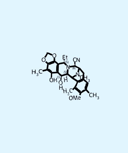 CC[C@H]1c2c3c(c(C)c(O)c2[C@H](O)[C@@H]2C4c5c(cc(C)c(OC)c5C)CC([C@H](C#N)N12)N4C)OCO3